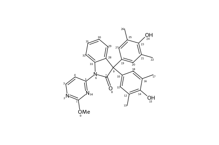 COc1nccc(N2C(=O)C(c3cc(C)c(O)c(C)c3)(c3cc(C)c(O)c(C)c3)c3ccccc32)n1